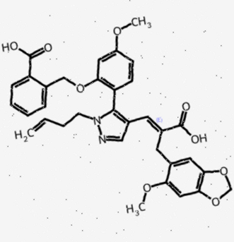 C=CCCn1ncc(/C=C(\Cc2cc3c(cc2OC)OCO3)C(=O)O)c1-c1ccc(OC)cc1OCc1ccccc1C(=O)O